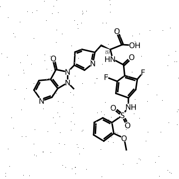 COc1ccccc1S(=O)(=O)Nc1cc(F)c(C(=O)N[C@@H](Cc2ccc(-n3c(=O)c4ccncc4n3C)cn2)C(=O)O)c(F)c1